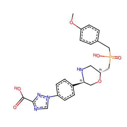 COc1ccc(CP(=O)(O)C[C@H]2CN[C@H](c3ccc(-n4cnc(C(=O)O)n4)cc3)CO2)cc1